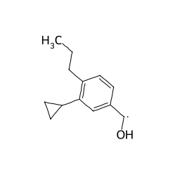 CCCc1ccc([CH]O)cc1C1CC1